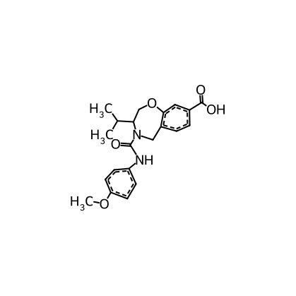 COc1ccc(NC(=O)N2Cc3ccc(C(=O)O)cc3OCC2C(C)C)cc1